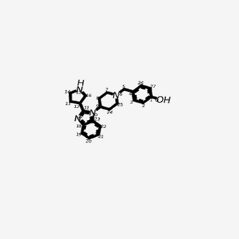 Oc1ccc(CN2CCC(n3c(C4CCNC4)nc4ccccc43)CC2)cc1